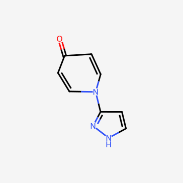 O=c1ccn(-c2cc[nH]n2)cc1